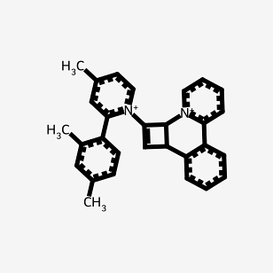 Cc1ccc(-c2cc(C)cc[n+]2C2=CC3c4ccccc4-c4cccc[n+]4C23)c(C)c1